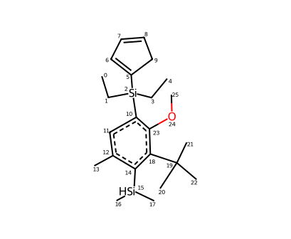 CC[Si](CC)(C1=CC=CC1)c1cc(C)c([SiH](C)C)c(C(C)(C)C)c1OC